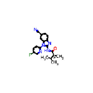 CC(C)[C@H](C)C(=O)Nc1nc2ccc(C#N)cc2n1-c1ccc(F)cn1